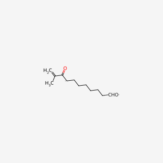 C=C(C)C(=O)[CH]CCCCCC[C]=O